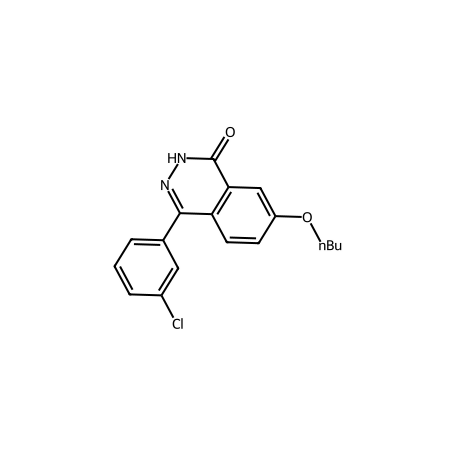 CCCCOc1ccc2c(-c3cccc(Cl)c3)n[nH]c(=O)c2c1